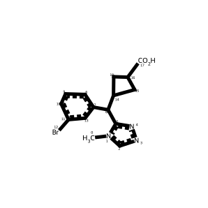 Cn1cnnc1C(c1cccc(Br)c1)C1CC(C(=O)O)C1